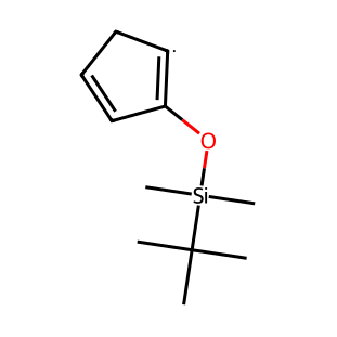 CC(C)(C)[Si](C)(C)OC1=[C]CC=C1